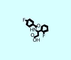 O=C(O)CC(NC(=O)c1ccc(F)cc1)c1ccccc1F